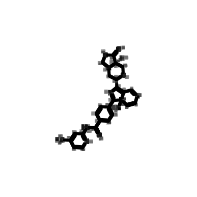 N[N+]12C=CN=CC1=C([C@H]1CN3COC(=O)[C@H]3CO1)N=C2c1ccc(C(=O)Nc2cc(C(F)(F)F)ccn2)cc1